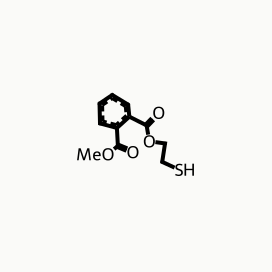 COC(=O)c1ccccc1C(=O)OCCS